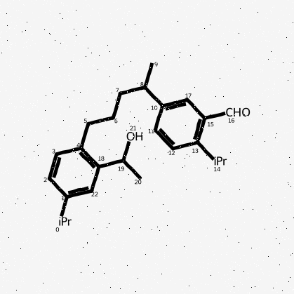 CC(C)c1ccc(CCCC(C)c2ccc(C(C)C)c(C=O)c2)c(C(C)O)c1